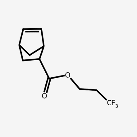 O=C(OCCC(F)(F)F)C1CC2C=CC1C2